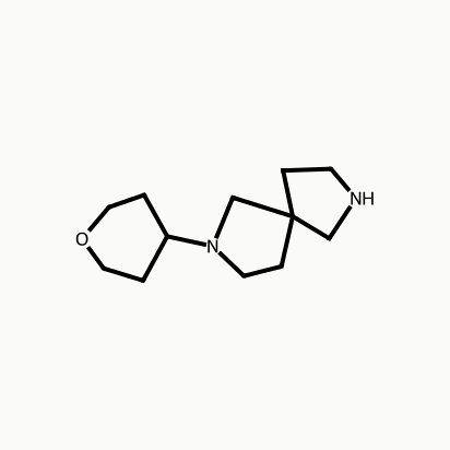 C1CC2(CCN(C3CCOCC3)C2)CN1